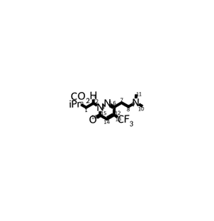 CC(C)CC(C(=O)O)n1nc(CCN(C)C)c(C(F)(F)F)cc1=O